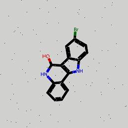 OC1Nc2ccccc2-c2[nH]c3ccc(Br)cc3c21